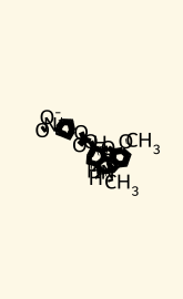 COc1ccc2c3c1O[C@H]1C(OC(=O)Oc4ccc([N+](=O)[O-])cc4)=CC[C@H]4[C@@H](C2)N(C)CC[C@]314